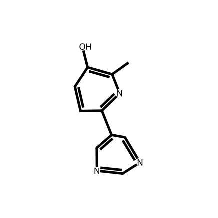 Cc1nc(-c2cncnc2)ccc1O